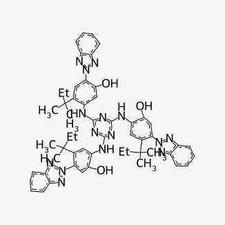 CCC(C)(C)c1cc(-n2nc3ccccc3n2)c(O)cc1Nc1nc(Nc2cc(C(C)(C)CC)c(-n3nc4ccccc4n3)cc2O)nc(Nc2cc(C(C)(C)CC)c(-n3nc4ccccc4n3)cc2O)n1